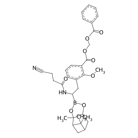 COc1c(CC(NC(=O)CCC#N)B2OC3CC4CC(C4(C)C)C3(C)O2)cccc1C(=O)OCOC(=O)c1ccccc1